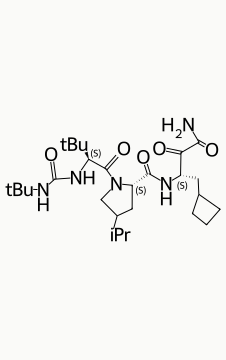 CC(C)C1C[C@@H](C(=O)N[C@@H](CC2CCC2)C(=O)C(N)=O)N(C(=O)[C@@H](NC(=O)NC(C)(C)C)C(C)(C)C)C1